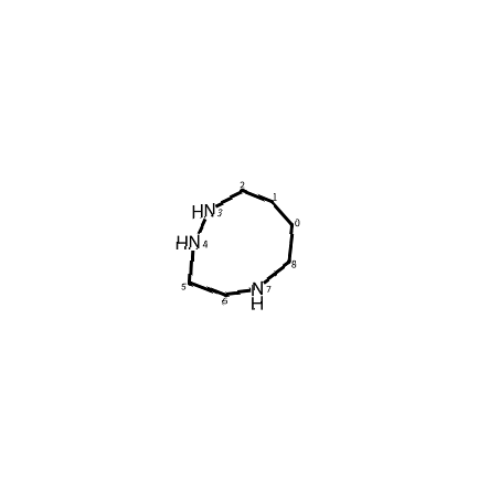 C1CCNNCCNC1